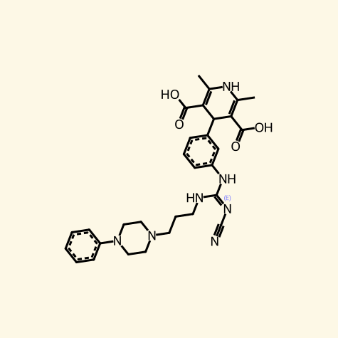 CC1=C(C(=O)O)C(c2cccc(N/C(=N/C#N)NCCCN3CCN(c4ccccc4)CC3)c2)C(C(=O)O)=C(C)N1